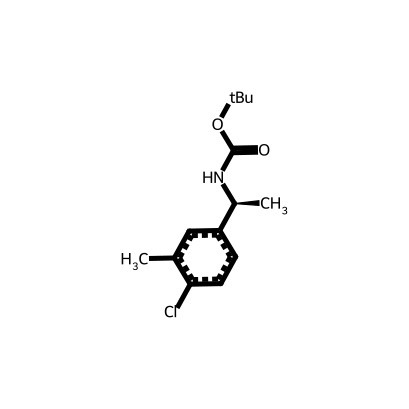 Cc1cc([C@H](C)NC(=O)OC(C)(C)C)ccc1Cl